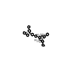 CC1(C)c2cc(-c3ccccc3)ccc2N2c3ccc(-c4ccccc4)cc3C(C)(C)c3cc(-c4ccc(-c5ccc(N(c6ccc(-c7ccccc7)cc6)c6cccc7c6sc6ccccc67)cc5)cc4)cc1c32